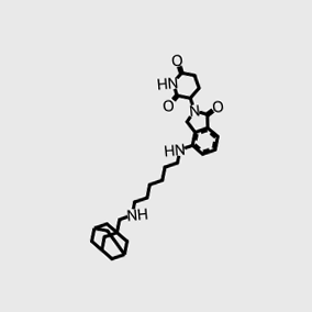 O=C1CCC(N2Cc3c(NCCCCCCNCC45CC6CC(CC(C6)C4)C5)cccc3C2=O)C(=O)N1